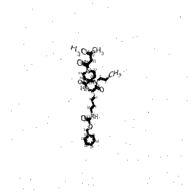 CCCN1C(=O)[C@H](CCCCNC(=O)OCc2ccccc2)NC(=O)C12CCN(C(=O)CC(C)C)CC2